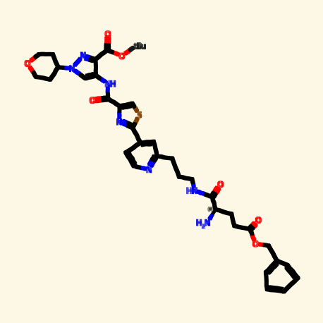 CC(C)(C)OC(=O)c1nn(C2CCOCC2)cc1NC(=O)c1csc(-c2ccnc(CCCNC(=O)[C@H](N)CCC(=O)OCc3ccccc3)c2)n1